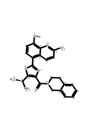 COc1ccc(-c2nc(C(=O)N3CCc4ccccc4C3)c([C@H](C)N)o2)c2ccc(C(F)(F)F)nc12